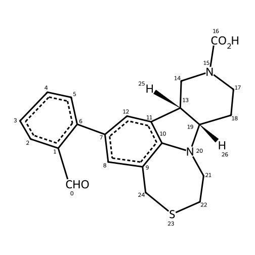 O=Cc1ccccc1-c1cc2c3c(c1)[C@@H]1CN(C(=O)O)CC[C@@H]1N3CCSC2